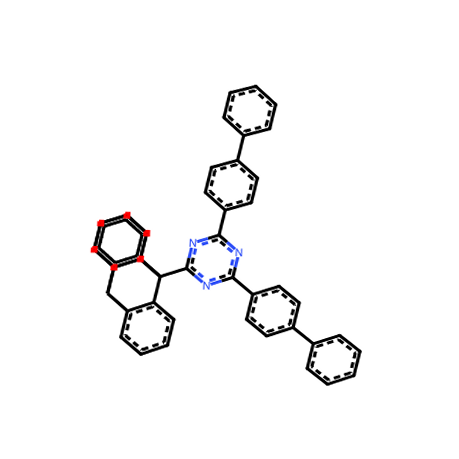 c1ccc(-c2ccc(-c3nc(-c4ccc(-c5ccccc5)cc4)nc(C45c6ccccc6C(c6ccccc64)c4ccccc45)n3)cc2)cc1